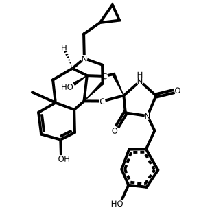 CC12C=CC(O)=CC1[C@]13CCN(CC4CC4)[C@H](C2)[C@]1(O)CC[C@@]1(C3)NC(=O)N(Cc2ccc(O)cc2)C1=O